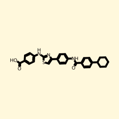 O=C(O)c1ccc(Nc2nc(-c3ccc(NC(=O)c4ccc(C5CCCCC5)cc4)cc3)cs2)cc1